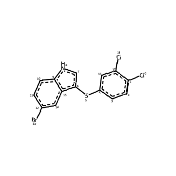 Clc1ccc(Sc2c[nH]c3ccc(Br)cc23)cc1Cl